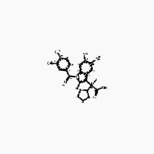 Cc1c([C@](C)(C(=O)O)C2CCCC2)c2cc(O)c(F)cc2n1C(=O)c1ccc(Cl)c(Cl)c1